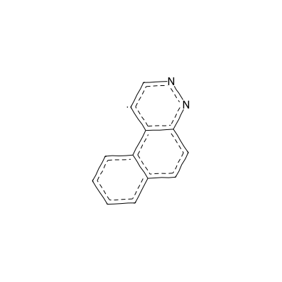 [c]1cnnc2ccc3ccccc3c12